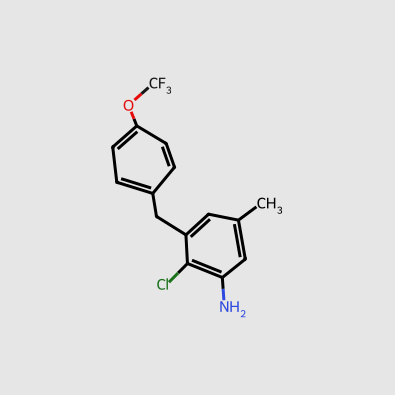 Cc1cc(N)c(Cl)c(Cc2ccc(OC(F)(F)F)cc2)c1